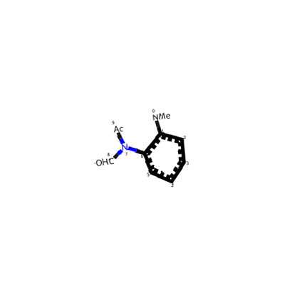 CNc1ccccc1N([C]=O)C(C)=O